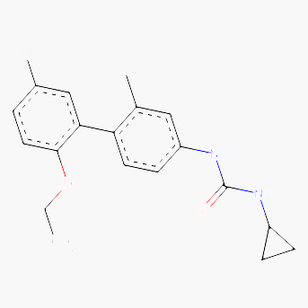 Cc1cc(NC(=O)NC2CC2)ccc1-c1cc(C(F)(F)F)ccc1OCC(=O)O